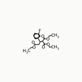 CCOC(=O)CC(c1cccc(F)c1)C(C(=O)OCC)C(=O)OCC